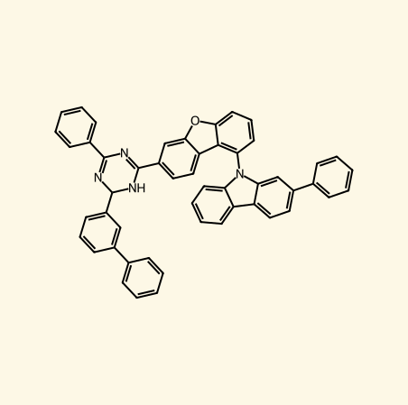 c1ccc(C2=NC(c3cccc(-c4ccccc4)c3)NC(c3ccc4c(c3)oc3cccc(-n5c6ccccc6c6ccc(-c7ccccc7)cc65)c34)=N2)cc1